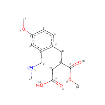 CNCc1cc(OC)ccc1CC(CC(=O)O)C(=O)OC